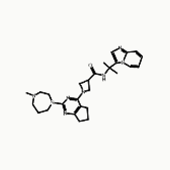 CN1CCCN(c2nc3c(c(N4CC(C(=O)NC(C)(C)c5cnc6ccccn56)C4)n2)CCC3)CC1